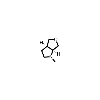 CN1CC[C@H]2COC[C@H]21